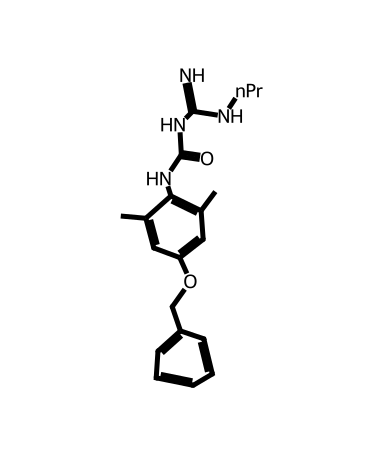 CCCNC(=N)NC(=O)Nc1c(C)cc(OCc2ccccc2)cc1C